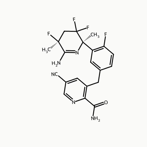 C[C@]1(F)CC(F)(F)[C@@](C)(c2cc(Cc3cc(C#N)cnc3C(N)=O)ccc2F)N=C1N